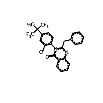 O=c1c2ccccc2nc(Cc2ccccc2)n1-c1ccc(C(O)(C(F)(F)F)C(F)(F)F)cc1Cl